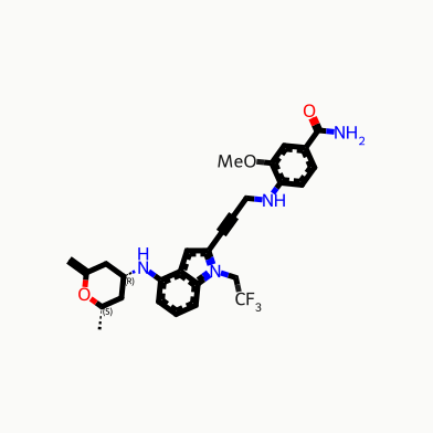 C=C1C[C@H](Nc2cccc3c2cc(C#CCNc2ccc(C(N)=O)cc2OC)n3CC(F)(F)F)C[C@H](C)O1